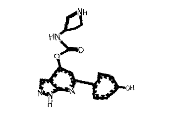 O=C(NC1CNC1)Oc1cc(-c2ccc(O)cc2)nc2[nH]ncc12